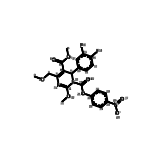 COCC1=C(C(=O)OC)C(c2ccc(F)c(F)c2)N(C(=O)Oc2ccc([N+](=O)[O-])cc2)C(OC)=N1